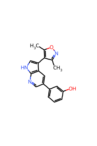 Cc1noc(C)c1-c1c[nH]c2ncc(-c3cccc(O)c3)cc12